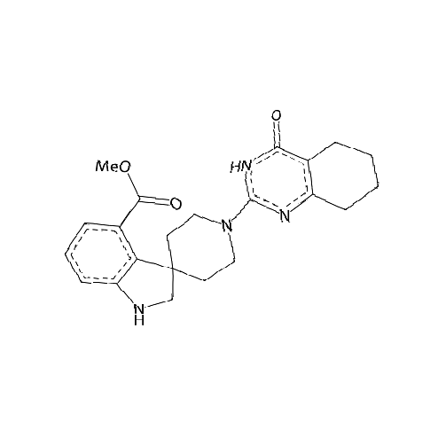 COC(=O)c1cccc2c1C1(CCN(c3nc4c(c(=O)[nH]3)CCCC4)CC1)CN2